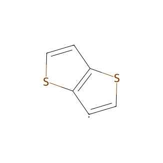 [c]1csc2ccsc12